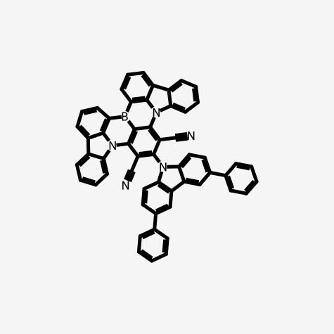 N#Cc1c(-n2c3ccc(-c4ccccc4)cc3c3cc(-c4ccccc4)ccc32)c(C#N)c2c3c1-n1c4ccccc4c4cccc(c41)B3c1cccc3c4ccccc4n-2c13